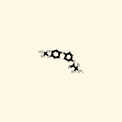 CCC(C)(C)Oc1ccc(Oc2ccc(OC(=O)C(C)(CC)CC)cc2)cc1